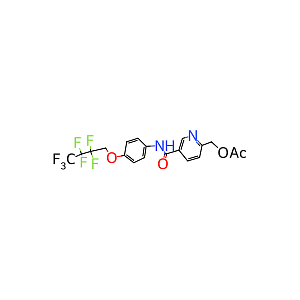 CC(=O)OCc1ccc(C(=O)Nc2ccc(OCC(F)(F)C(F)(F)C(F)(F)F)cc2)cn1